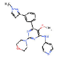 COc1c(Nc2ccncc2)nc(N2CCOCC2)nc1-c1cccc(-c2ccn(C)n2)c1